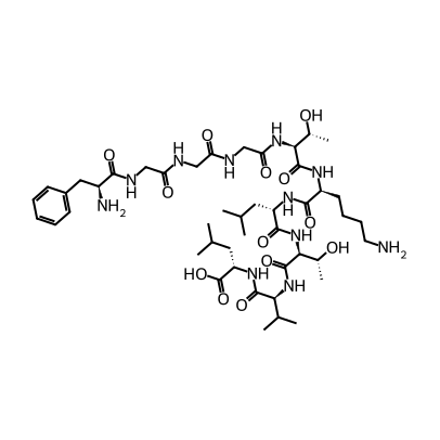 CC(C)C[C@H](NC(=O)[C@@H](NC(=O)[C@@H](NC(=O)[C@H](CC(C)C)NC(=O)[C@H](CCCCN)NC(=O)[C@@H](NC(=O)CNC(=O)CNC(=O)CNC(=O)[C@@H](N)Cc1ccccc1)[C@@H](C)O)[C@@H](C)O)C(C)C)C(=O)O